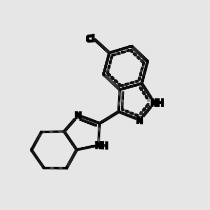 Clc1ccc2[nH]nc(C3=NC4CCCCC4N3)c2c1